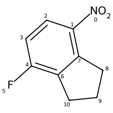 O=[N+]([O-])c1ccc(F)c2c1CCC2